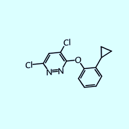 Clc1cc(Cl)c(Oc2ccccc2C2CC2)nn1